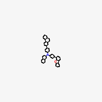 c1ccc2cc(N(c3ccc(-c4ccc5c(ccc6ccccc65)c4)cc3)c3ccc(-c4cccc5c4oc4ccccc45)cc3)ccc2c1